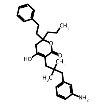 CCCC1(CCc2ccccc2)CC(O)=C(CC(C)(C)Cc2cccc(N)c2)C(=O)O1